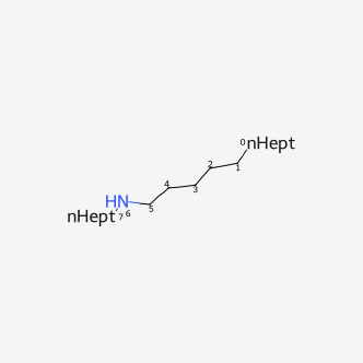 CCCCCCCCCCCCNCCCCCCC